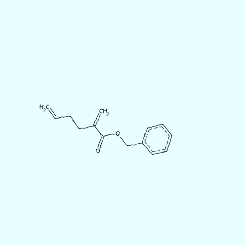 C=CCCC(=C)C(=O)OCc1ccccc1